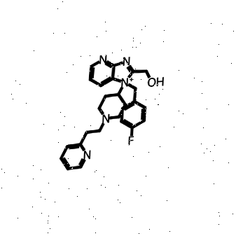 OCC1=Nc2ncccc2[N+]1(Cc1ccc(F)cc1)C1CCN(CCc2ccccn2)CC1